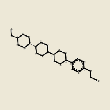 CC[C@H]1CC[C@H](C2CCC(C3CCC(c4ccc(CCF)cc4)CC3)CC2)CC1